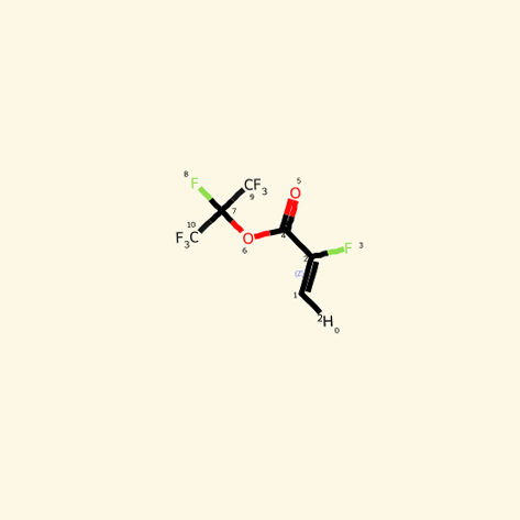 [2H]/C=C(\F)C(=O)OC(F)(C(F)(F)F)C(F)(F)F